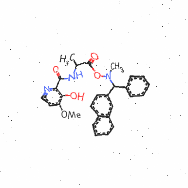 COc1ccnc(C(=O)NC(C)C(=O)ON(C)C(c2ccccc2)c2ccc3ccccc3c2)c1O